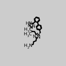 CC(C)Cc1nc(CCCN)nn1Cc1ccc(-c2ccccc2-c2nnn[nH]2)cc1